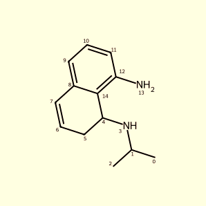 CC(C)NC1CC=Cc2cccc(N)c21